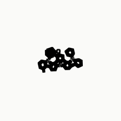 Cc1cccc2c1c1ccc3c(c4c5c(cc6c7c8c(ccc7n3c64)c3ccccc3n8-c3ccccc3)oc3ccccc35)c1n2-c1ccccc1